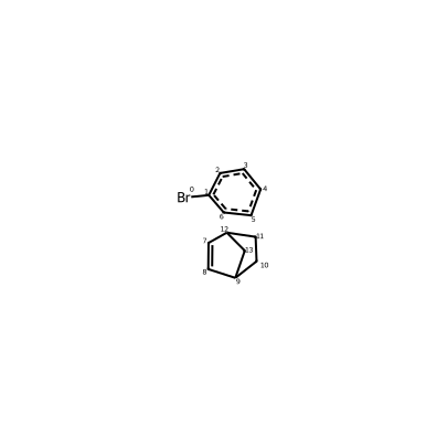 Brc1ccccc1.C1=CC2CCC1C2